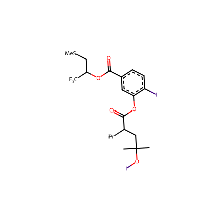 CSCC(OC(=O)c1ccc(I)c(OC(=O)C(CC(C)(C)OI)C(C)C)c1)C(F)(F)F